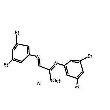 CCCCCCCCC(C=Nc1cc(CC)cc(CC)c1)=Nc1cc(CC)cc(CC)c1.[Ni]